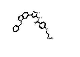 COCCOc1ccc(C(=O)Nc2cc(-c3ccc4ccn(Cc5ccccc5)c4c3)n[nH]2)cc1